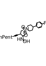 CCCCCC#CC(CS(=O)(=O)N1CCC(c2ccc(F)cc2)CC1)C(=O)NO